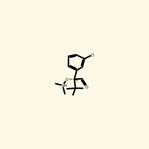 C[SiH](C)O[C@@](C=O)(c1cccc(Cl)c1)C(C)(C)C